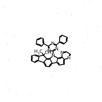 CC1(C)c2ccccc2-c2ccc3c4ccc5nccnc5c4n(-c4nc(-c5ccccc5)nc(-c5ccccc5)n4)c3c21